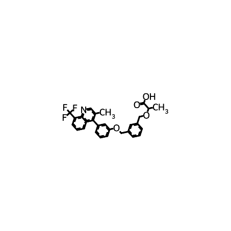 Cc1cnc2c(C(F)(F)F)cccc2c1-c1cccc(OCc2cccc(COC(C)C(=O)O)c2)c1